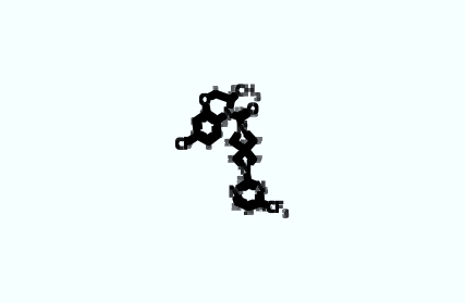 CC1COc2cc(Cl)ccc2N1C(=O)N1CC2(C1)CN(c1nccc(C(F)(F)F)n1)C2